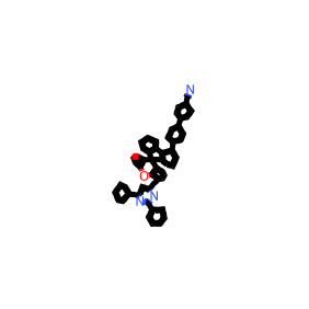 N#Cc1ccc(-c2ccc(-c3cccc4c3-c3ccccc3C43c4ccccc4Oc4c(-c5cc(-c6ccccc6)nc(-c6ccccc6)n5)cccc43)cc2)cc1